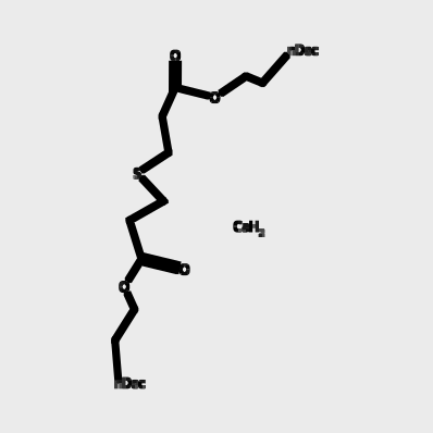 CCCCCCCCCCCCOC(=O)CCSCCC(=O)OCCCCCCCCCCCC.[CaH2]